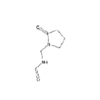 O=CNCN1CCCC1=O